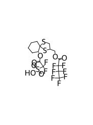 O=C(OCC1CSC2(CCCCC2OC(=O)C(F)(F)S(=O)(=O)O)S1)C(F)(F)C(F)(F)C(F)(F)F